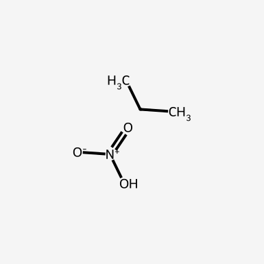 CCC.O=[N+]([O-])O